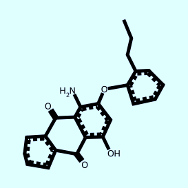 CCCc1ccccc1Oc1cc(O)c2c(c1N)C(=O)c1ccccc1C2=O